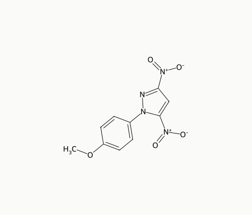 COc1ccc(-n2nc([N+](=O)[O-])cc2[N+](=O)[O-])cc1